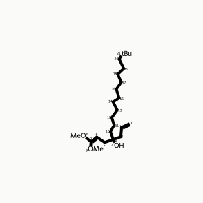 C=CCC(O)(CC=C(OC)OC)CCCCCCCCCCCC(C)(C)C